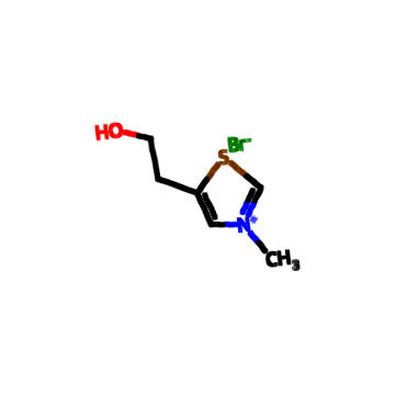 C[n+]1csc(CCO)c1.[Br-]